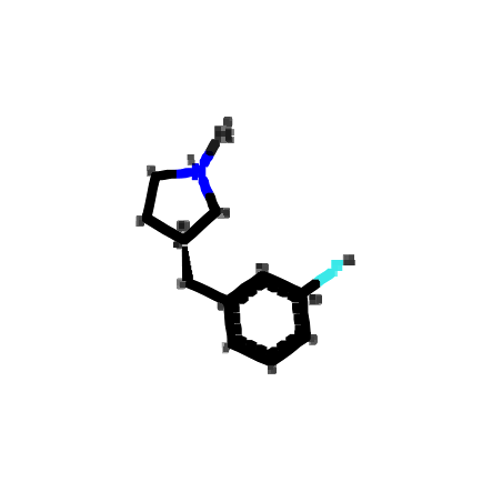 CCN1CC[C@@H](Cc2cccc(F)c2)C1